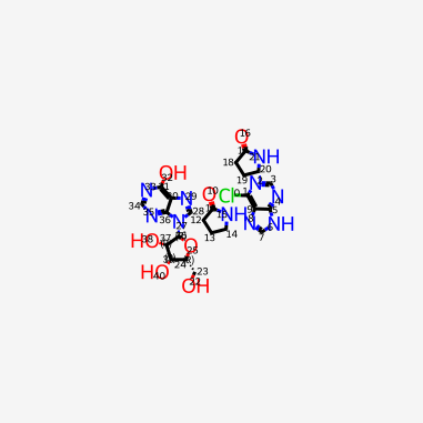 Clc1ncnc2[nH]cnc12.O=C1CCCN1.O=C1CCCN1.OC[C@H]1O[C@@H](n2cnc3c(O)ncnc32)[C@H](O)[C@@H]1O